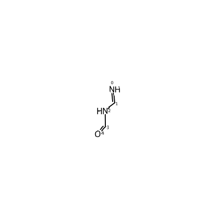 N=CNC=O